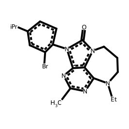 CCN1CCCn2c(=O)n(-c3ccc(C(C)C)cc3Br)c3nc(C)nc1c32